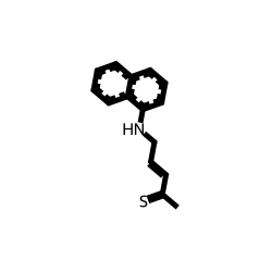 CC(=S)C=CCNc1cccc2ccccc12